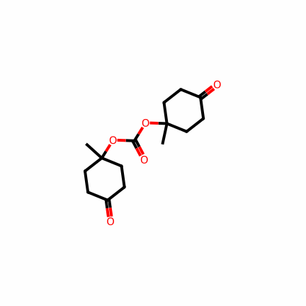 CC1(OC(=O)OC2(C)CCC(=O)CC2)CCC(=O)CC1